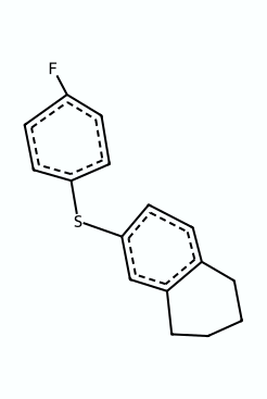 Fc1ccc(Sc2ccc3c(c2)CCCC3)cc1